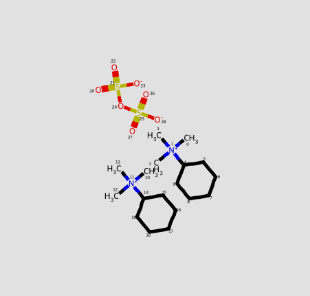 C[N+](C)(C)C1CCCCC1.C[N+](C)(C)C1CCCCC1.O=S(=O)([O-])OS(=O)(=O)[O-]